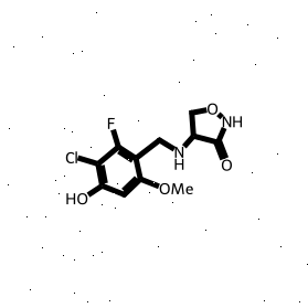 COc1cc(O)c(Cl)c(F)c1CNC1CONC1=O